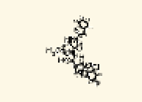 CC(C)C[C@H](NC(=O)c1cc2ccccc2s1)C(=O)NC[C@@H](O)[C@H](CO)NS(=O)(=O)c1ccc(F)cc1Cl